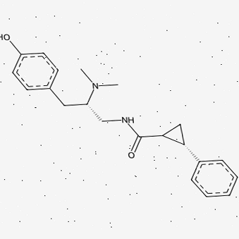 CN(C)[C@H](CNC(=O)C1C[C@@H]1c1ccccc1)Cc1ccc(O)cc1